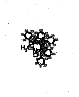 CC1N=P(Cl)(Oc2ccccc2)N=P(Oc2ccccc2)(Oc2ccccc2)N=P1(Oc1ccccc1)Oc1ccccc1